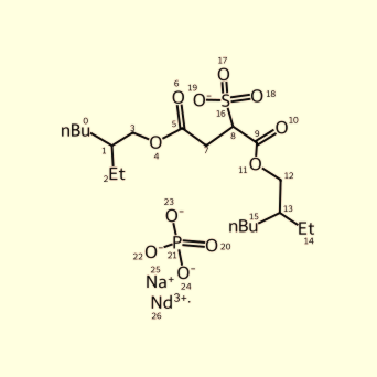 CCCCC(CC)COC(=O)CC(C(=O)OCC(CC)CCCC)S(=O)(=O)[O-].O=P([O-])([O-])[O-].[Na+].[Nd+3]